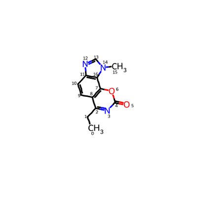 CCc1nc(=O)oc2c1ccc1ncn(C)c12